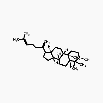 C=C(CCC=C(C)C)C1CC[C@]2(C)[C@@H]1CC[C@@H]1[C@@]3(C)CC[C@H](O)C(C)(C)[C@@H]3CC[C@]12C